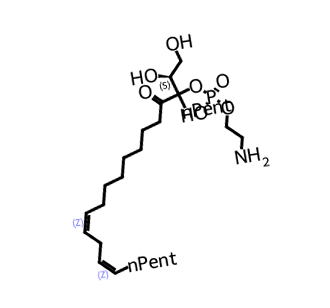 CCCCC/C=C\C/C=C\CCCCCCCC(=O)C(C[14CH2]CCC)(OP(=O)(O)OCCN)[C@@H](O)CO